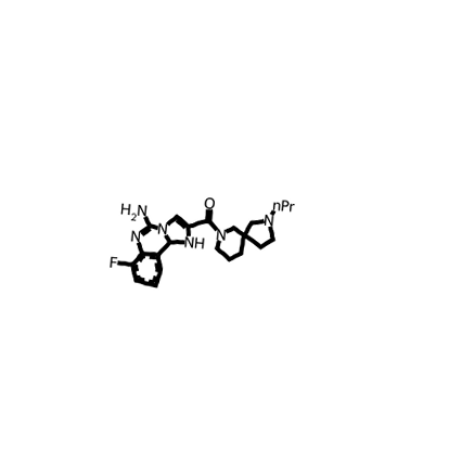 CCCN1CCC2(CCCN(C(=O)C3=CN4C(N)=Nc5c(F)cccc5C4N3)C2)C1